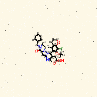 Cc1nc2cc(C(=O)N(Cc3ccccc3)C(C)C)nn2c(-c2cc(F)c3c(c2C)CCCO3)c1[C@H](OC(C)(C)C)C(=O)O